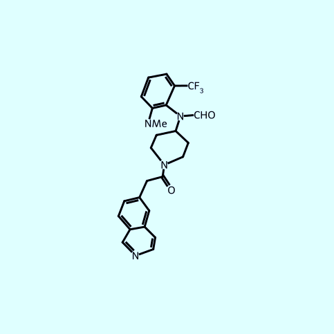 CNc1cccc(C(F)(F)F)c1N(C=O)C1CCN(C(=O)Cc2ccc3cnccc3c2)CC1